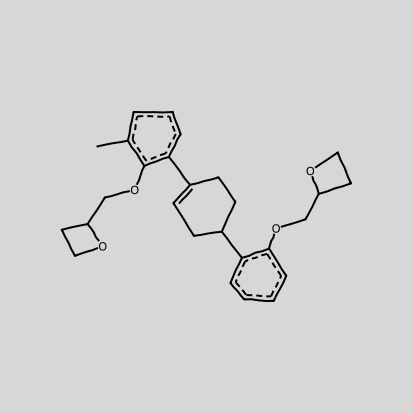 Cc1cccc(C2=CCC(c3ccccc3OCC3CCO3)CC2)c1OCC1CCO1